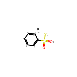 O=S(=O)([S-])c1ccccc1.[K+]